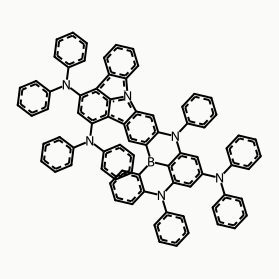 c1ccc(N(c2ccccc2)c2cc3c4c(c2)N(c2ccccc2)c2cc5c(cc2B4c2ccccc2N3c2ccccc2)c2c(N(c3ccccc3)c3ccccc3)cc(N(c3ccccc3)c3ccccc3)c3c4ccccc4n5c32)cc1